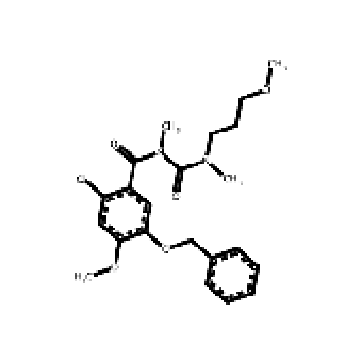 COCCCN(C)C(=O)N(C)C(=O)c1cc(OCc2ccccc2)c(OC)cc1Cl